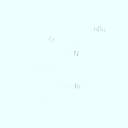 CCCCC1COC(c2ccccc2Br)=N1